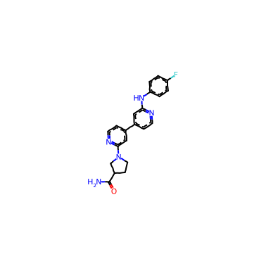 NC(=O)C1CCN(c2cc(-c3ccnc(Nc4ccc(F)cc4)c3)ccn2)C1